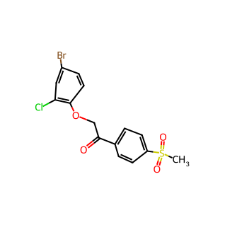 CS(=O)(=O)c1ccc(C(=O)COc2ccc(Br)cc2Cl)cc1